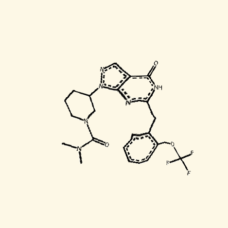 CN(C)C(=O)N1CCCC(n2ncc3c(=O)[nH]c(Cc4ccccc4OC(F)(F)F)nc32)C1